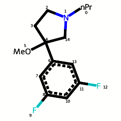 CCCN1CCC(OC)(c2cc(F)cc(F)c2)C1